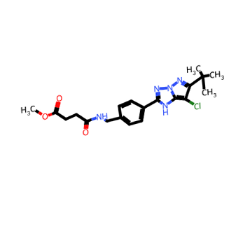 COC(=O)CCC(=O)NCc1ccc(-c2nn3nc(C(C)(C)C)c(Cl)c3[nH]2)cc1